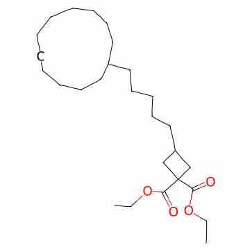 CCOC(=O)C1(C(=O)OCC)CC(CCCCCC2CCCCCCCCCCC2)C1